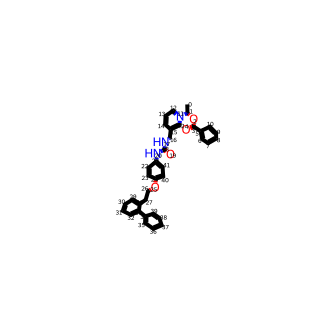 CC(OC(=O)c1ccccc1)[n+]1cccc(CNC(=O)Nc2ccc(OCCc3ccccc3-c3ccccc3)cc2)c1